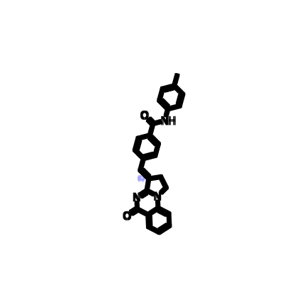 Cc1ccc(NC(=O)c2ccc(/C=C3\CCn4c3nc(=O)c3ccccc34)cc2)cc1